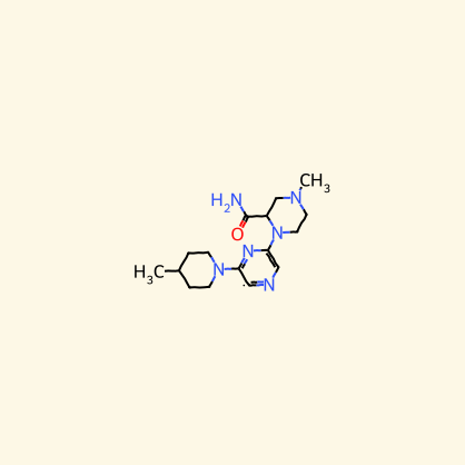 CC1CCN(c2[c]ncc(N3CCN(C)CC3C(N)=O)n2)CC1